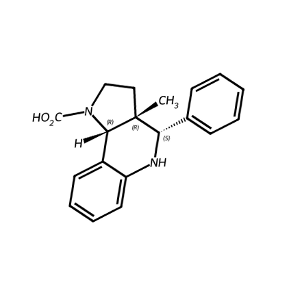 C[C@]12CCN(C(=O)O)[C@H]1c1ccccc1N[C@H]2c1ccccc1